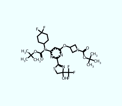 CC(C)(C)OC(=O)N1CC(Oc2cc(N(C(=O)OC(C)(C)C)C3CCC(F)(F)CC3)nc(C3=NC(O)(C(F)(F)F)CS3)n2)C1